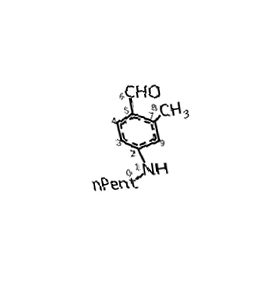 CCCCCNc1ccc(C=O)c(C)c1